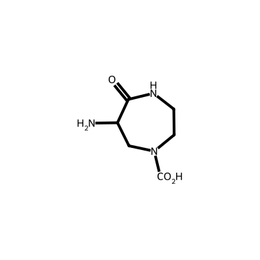 NC1CN(C(=O)O)CCNC1=O